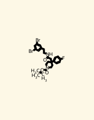 CC(C)(C)OC(=O)N1CCC(CC(=O)NCCc2cc(Br)cc(Br)c2)(c2ccc(F)cc2)CC1